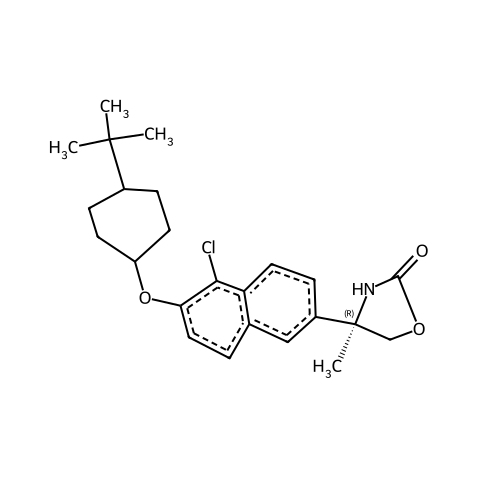 CC(C)(C)C1CCC(Oc2ccc3cc([C@]4(C)COC(=O)N4)ccc3c2Cl)CC1